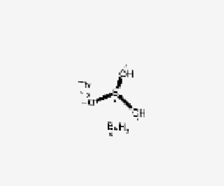 OB(O)O.[BaH2].[Tb]